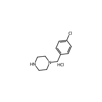 Cl.Clc1ccc(CN2CCNCC2)cc1